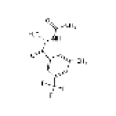 CC(=O)N[C@@H](C)C(=O)c1cc(C)cc(C(F)(F)F)c1